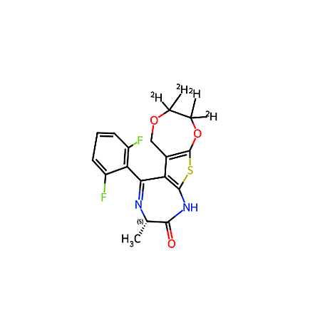 [2H]C1([2H])OCc2c(sc3c2C(c2c(F)cccc2F)=N[C@@H](C)C(=O)N3)OC1([2H])[2H]